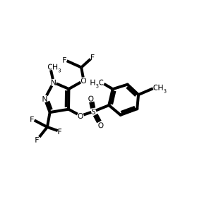 Cc1ccc(S(=O)(=O)Oc2c(C(F)(F)F)nn(C)c2OC(F)F)c(C)c1